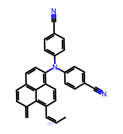 C=c1ccc2ccc(N(c3ccc(C#N)cc3)c3ccc(C#N)cc3)c3ccc(/C=C\C)c1c23